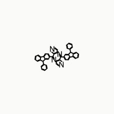 c1ccc(C2c3ccccc3-c3ccc(/C4=N/c5ccncc5/C(c5ccc6c(c5)C(c5ccccc5)c5ccccc5-6)=N\c5ccncc54)cc32)cc1